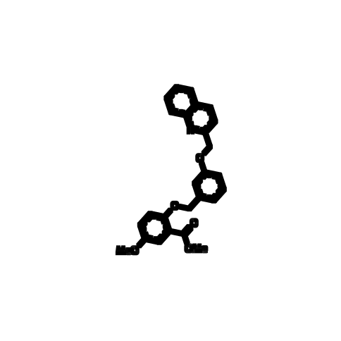 COC(=O)c1cc(OC)ccc1OCc1cccc(OCc2ccc3ccccc3n2)c1